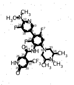 CC1CN(c2cc(F)c(-c3cnc(N(C)C)c(F)c3)c(F)c2NC(=O)c2c[nH]c(=O)cc2C(F)(F)F)CC(C)N1C